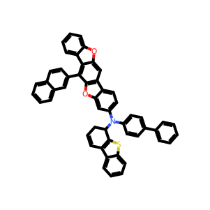 C1=Cc2c(sc3ccccc23)C(N(c2ccc(-c3ccccc3)cc2)c2ccc3c(c2)oc2c(-c4ccc5ccccc5c4)c4c(cc23)oc2ccccc24)C1